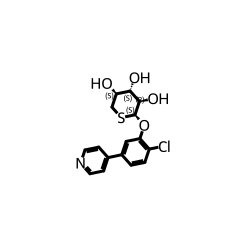 O[C@@H]1[C@@H](O)[C@@H](Oc2cc(-c3ccncc3)ccc2Cl)SC[C@H]1O